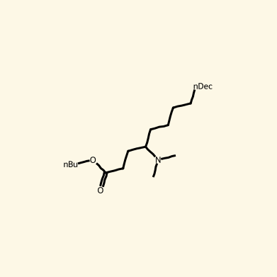 CCCCCCCCCCCCCCC(CCC(=O)OCCCC)N(C)C